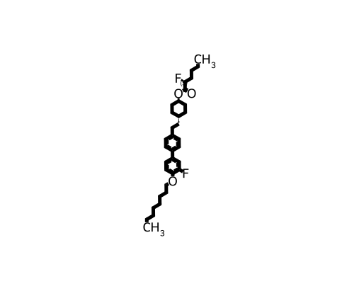 CCCCCCCCOc1ccc(-c2ccc(CC[C@H]3CC[C@H](OC(=O)[C@@H](F)CCCC)CC3)cc2)cc1F